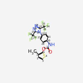 Cc1ccsc1OC(=O)Nc1ccc(-n2c(C(F)(F)F)nnc2C(F)(F)F)cc1